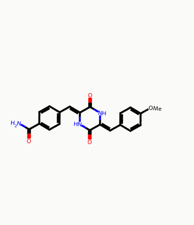 COc1ccc(C=c2[nH]c(=O)c(=Cc3ccc(C(N)=O)cc3)[nH]c2=O)cc1